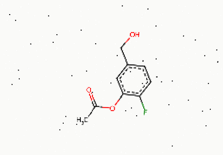 CC(=O)Oc1cc(CO)ccc1F